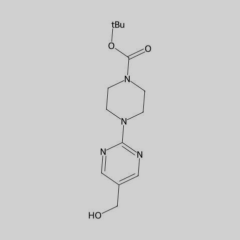 CC(C)(C)OC(=O)N1CCN(c2ncc(CO)cn2)CC1